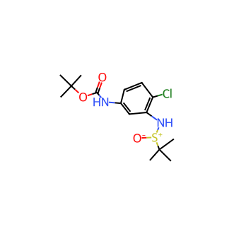 CC(C)(C)OC(=O)Nc1ccc(Cl)c(N[S+]([O-])C(C)(C)C)c1